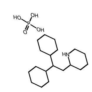 C1CCC(C(CC2CCCCN2)C2CCCCC2)CC1.O=P(O)(O)O